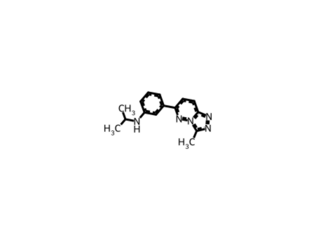 Cc1nnc2ccc(-c3cccc(NC(C)C)c3)nn12